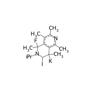 Cc1nc(C)c2c(c1C)C(C)(F)N(C(C)C)C(I)[C]2(C)[K]